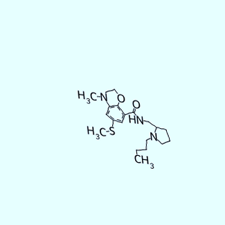 CCCCN1CCCC1CNC(=O)c1cc(SC)cc2c1OCCN2C